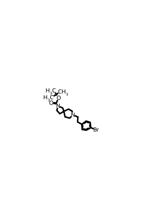 CC(C)(C)OC(=O)N1CCC2(CCN(CCc3ccc(Br)cc3)CC2)C1